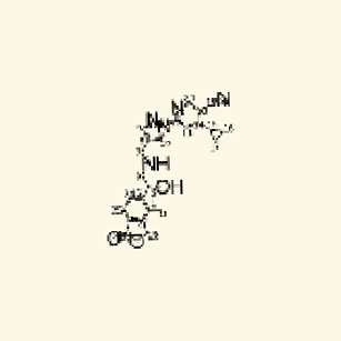 Cc1c(C(O)CNCc2cnn(-c3cc(C4CC4)c(C#N)cn3)c2)ccc2c1COC2=O